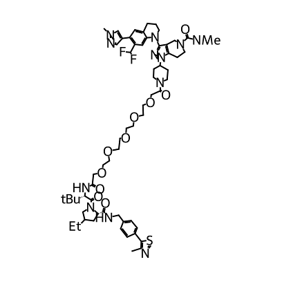 CCC1C[C@@H](C(=O)NCc2ccc(-c3scnc3C)cc2)N(C(=O)[C@@H](NC(=O)COCCOCCOCCOCCOCC(=O)N2CCC(n3nc(N4CCCc5cc(-c6cnn(C)c6)c(C(F)F)cc54)c4c3CCN(C(=O)NC)C4)CC2)C(C)(C)C)C1